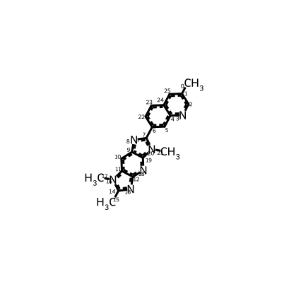 Cc1cnc2cc(-c3nc4cc5c(nc(C)n5C)nc4n3C)ccc2c1